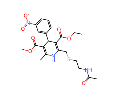 CCOC(=O)C1=C(CSCCNC(C)=O)NC(C)=C(C(=O)OC)C1c1cccc([N+](=O)[O-])c1